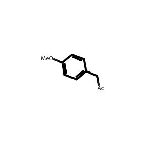 COc1ccc([CH]C(C)=O)cc1